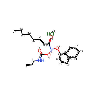 C=CCNC(=O)ON(Oc1cccc2ccccc12)C(=O)C=CCCCCC.Cl